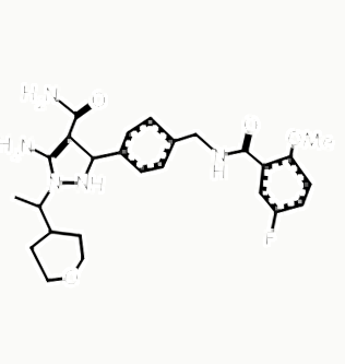 COc1ccc(F)cc1C(=O)NCc1ccc(C2NN(C(C)C3CCOCC3)C(N)=C2C(N)=O)cc1